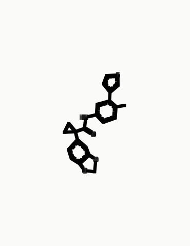 Cc1ccc(NC(=O)C2(c3ccc4c(c3)OCO4)CC2)cc1-c1ccsc1